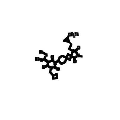 CCOC(=O)[C@@H]1C[C@H]1CCN1C(=O)N(C)C(=O)C12CC1(CCC(N3C(=O)C(=C(SCC)SCC)C(=O)N(CC4CCC4)C3=O)CC1)C2